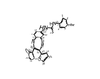 S=C(Nc1ccc(Br)cc1)Nc1ccc2nc(-c3ccco3)c(-c3ccco3)nc2c1